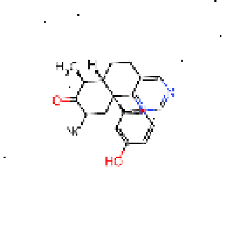 C[C@@H]1C(=O)C(C#N)C[C@@]2(c3cccc(O)c3)c3ncncc3CC[C@@H]12